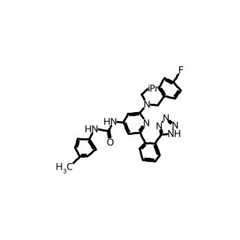 Cc1ccc(NC(=O)Nc2cc(-c3ccccc3-c3nnn[nH]3)nc(N(Cc3ccc(F)cc3)CC(C)C)c2)cc1